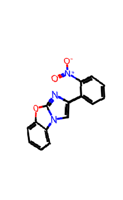 O=[N+]([O-])c1ccccc1-c1cn2c(n1)oc1ccccc12